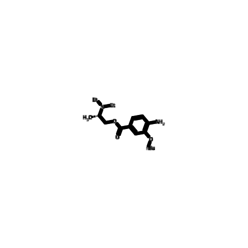 CCCCOc1cc(C(=O)OC[C@H](C)N(CC)CC)ccc1N